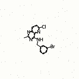 Cc1nc(NCc2cccc(Br)c2)c2nc(Cl)ccc2n1